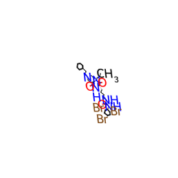 CCCN1C(=O)[C@H](CCCCNC(=O)Nc2c(Br)cc(Br)cc2Br)NC(=O)C12CCN(CCc1ccccc1)CC2